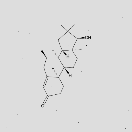 C[C@@H]1CC2=CC(=O)CC[C@@H]2[C@H]2CC[C@]3(C)[C@H](O)C(C)(C)C[C@H]3[C@@H]21